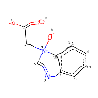 O=C(O)C[N+]1([O-])C=Nc2ccccc21